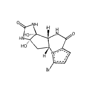 O=C1N[C@]2(O)C[C@@H]3[C@@H](NC(=O)c4ccc(Br)n43)[C@]2(O)N1